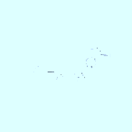 N=C(N)c1ccc(C2=NOC3(CCN(C(=O)CCCC(=O)O)CC3)C2)cc1